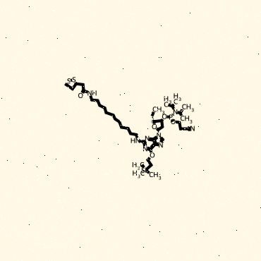 CC[C@H]1O[C@@H](n2cnc3c(OCC[Si](C)(C)C)nc(NCCCCCCCCCCCCNC(=O)CC4CCSS4)nc32)CC1OP(OCCC#N)N(C(C)C)C(C)C